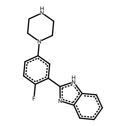 Fc1ccc(N2CCNCC2)cc1-c1nc2ccccc2[nH]1